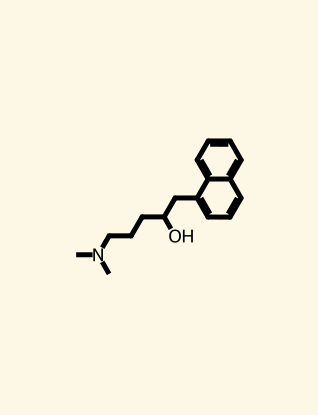 CN(C)CCCC(O)Cc1cccc2ccccc12